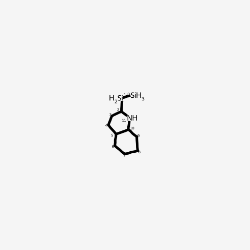 [SiH3][SiH2]C1CCC2CCCCC2N1